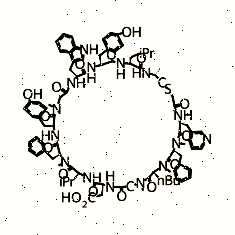 CCCC[C@H]1C(=O)N(C)CC(=O)N[C@@H](CC(=O)O)C(=O)N[C@@H](C(C)C)C(=O)N(C)[C@@H](Cc2ccccc2)C(=O)N[C@@H](Cc2ccc(O)cc2)C(=O)N(C)CC(=O)N[C@@H](Cc2c[nH]c3ccccc23)C(=O)N[C@@H](Cc2ccc(O)cc2)C(=O)N[C@@H](CC(C)C)C(=O)N[C@H](C)CSCC(=O)N[C@@H](Cc2cccnc2)C(=O)N(C)[C@@H](Cc2ccccc2)C(=O)N1C